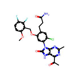 COc1ccc(F)c(F)c1COc1cc(-n2c(=O)[nH]c3c(C(C)=O)nc(C)nc32)c(Cl)cc1CCC(N)=O